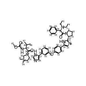 CCN(CC)[C@@H](C(=O)N1CCC[C@H]1c1ncc(-c2ccc(Oc3cccc(-c4cnc([C@@H]5CS(C)(C)CN5C(=O)[C@@H](NC(=O)OC)C(C)C)[nH]4)c3)cc2)[nH]1)c1ccccc1